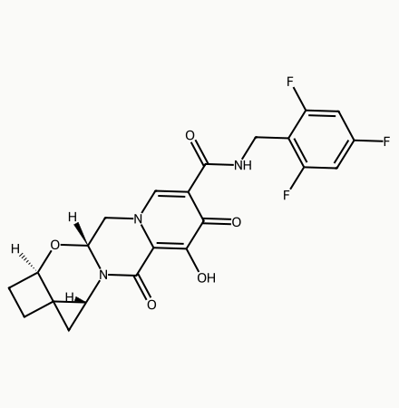 O=C(NCc1c(F)cc(F)cc1F)c1cn2c(c(O)c1=O)C(=O)N1[C@@H](C2)O[C@@H]2CCC23C[C@@H]13